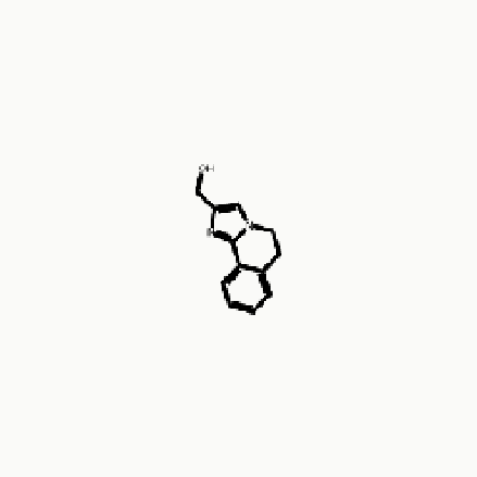 OCc1cn2c(n1)-c1ccccc1CC2